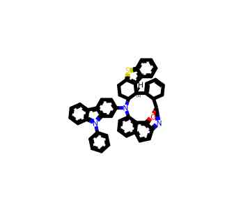 C1=CCC2C(=C1)[C@H]1c3c(sc4ccccc34)CCC1N(c1ccc3c4ccccc4n(-c4ccccc4)c3c1)c1cccc3ccc4nc2oc4c13